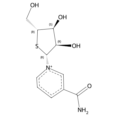 NC(=O)c1ccc[n+]([C@@H]2S[C@H](CO)[C@@H](O)[C@H]2O)c1